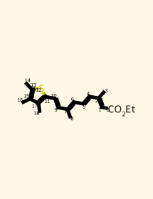 CCOC(=O)C=C(C)C=CC=C(C)C=Cc1sc(C)c(C)c1C